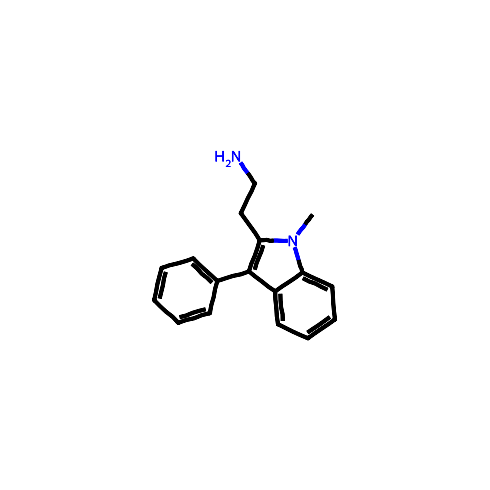 Cn1c(CCN)c(-c2ccccc2)c2ccccc21